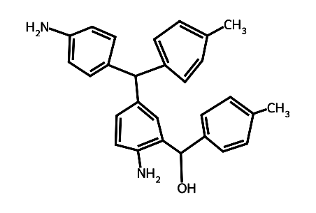 Cc1ccc(C(O)c2cc(C(c3ccc(C)cc3)c3ccc(N)cc3)ccc2N)cc1